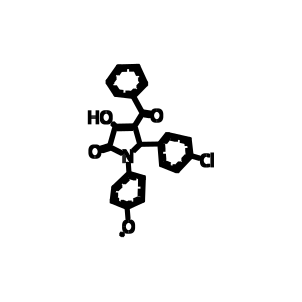 COc1ccc(N2C(=O)C(O)=C(C(=O)c3ccccc3)C2c2ccc(Cl)cc2)cc1